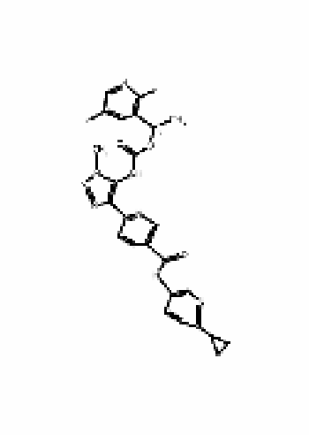 C[C@@H](OC(=O)Nc1c(-c2ccc(C(=O)Nc3ccc(C4CC4)nc3)cn2)nnn1C)c1cc(F)cnc1F